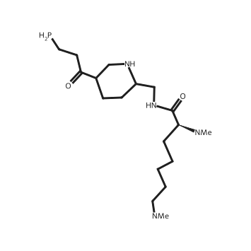 CNCCCCC[C@H](NC)C(=O)NCC1CCC(C(=O)CCP)CN1